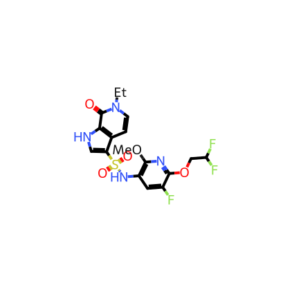 CCn1ccc2c(S(=O)(=O)Nc3cc(F)c(OCC(F)F)nc3OC)c[nH]c2c1=O